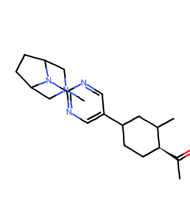 CC(=O)[C@H]1CCC(c2cnc(N3C4CCC3CN(C)C4)nc2)CC1C